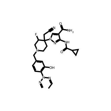 C=NN(/N=C\C)c1ccc(CN2CCC(CC#N)(n3cc(C(N)=O)c(NC(=O)C4CC4)n3)C(F)C2)cc1O